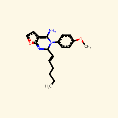 CCCCC=CC1N=c2occc2=C(N)N1c1ccc(OC)cc1